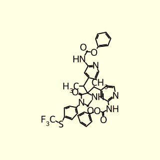 CC(c1ccnc(NC(=O)Oc2ccccc2)c1)C1(C(C)c2ccnc(NC(=O)Oc3ccccc3)c2)NC(=O)N(c2ccc(SC(F)(F)F)cc2)C1=O